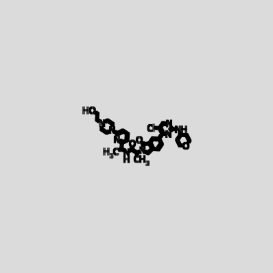 CC(NC(=O)C(C)N1Cc2ccc(-c3nc(NC4CCOCC4)ncc3Cl)cc2C1=O)c1cccc(N2CCN(CCO)CC2)n1